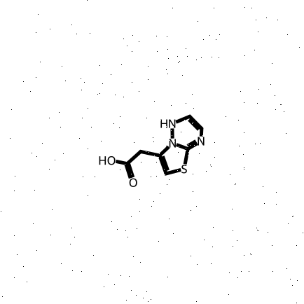 O=C(O)CC1=CSC2=NC=CNN12